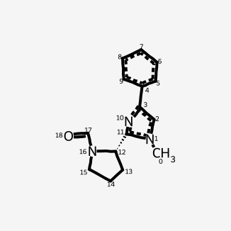 Cn1cc(-c2ccccc2)nc1[C@@H]1CCCN1C=O